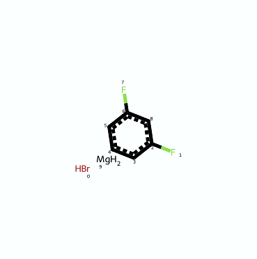 Br.Fc1cccc(F)c1.[MgH2]